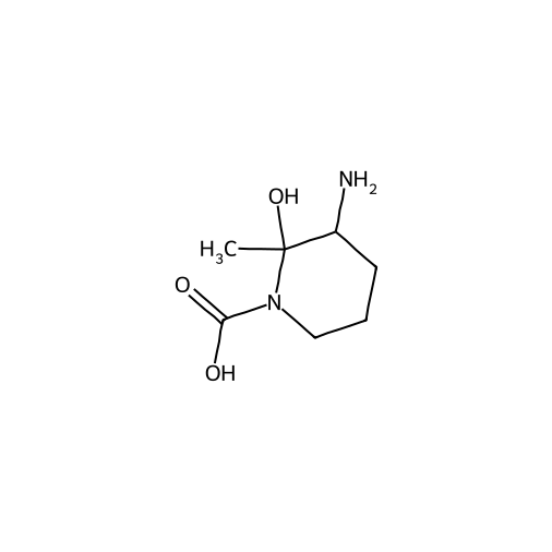 CC1(O)C(N)CCCN1C(=O)O